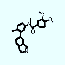 COc1ccc(C(=O)Nc2ccc(C)c(-c3ccc4ccncc4c3)c2)cc1OC